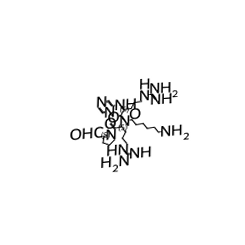 N=C(N)NCCC[C@H](Nc1cnccn1)C(=O)N(C(=O)CCCCCN)[C@@H](CCCNC(=N)N)C(=O)N1CCC[C@H]1C=O